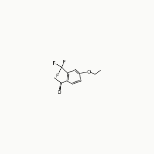 CCOc1ccc(C(C)=O)c(C(F)(F)F)c1